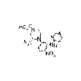 C[C@@H]1CN(C(=O)O)CCN1c1ccc([N+](=O)[O-])c(Nc2ccncn2)c1